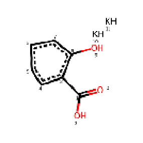 O=C(O)c1ccccc1O.[KH].[KH]